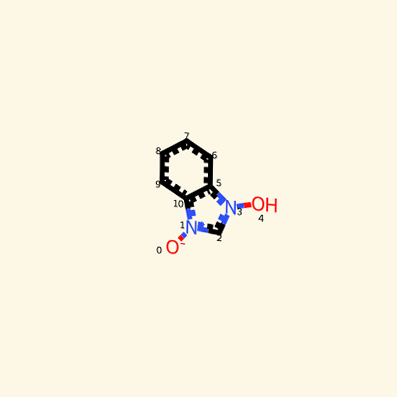 [O-][n+]1cn(O)c2ccccc21